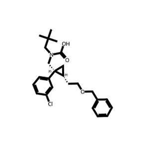 CC(C)(C)CN(C[C@]1(c2cccc(Cl)c2)C[C@@H]1CCOCc1ccccc1)C(=O)O